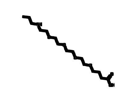 CCCNCCOCCOCCOCCOCCCC(=O)O